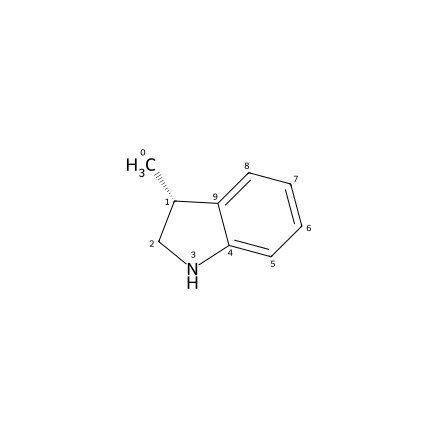 C[C@H]1CNc2ccccc21